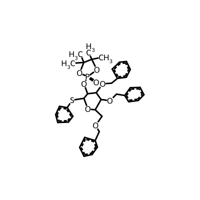 CC1(C)OP(=O)(OC2C(Sc3ccccc3)OC(COCc3ccccc3)C(OCc3ccccc3)C2OCc2ccccc2)OC1(C)C